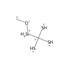 CO[SiH2]C(S)(S)S